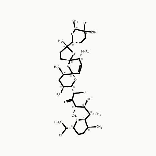 CCC(C(=O)[C@@H](C)[C@@H](O)[C@H](C)[C@@H]1O[C@@H](C(CC)C(=O)O)CC[C@@H]1C)[C@H]1O[C@]2(C=C[C@@H](NC(C)=O)[C@]3(CC[C@@](C)([C@H]4CC[C@](O)(CC)[C@H](C)O4)O3)O2)[C@H](C)C[C@@H]1C